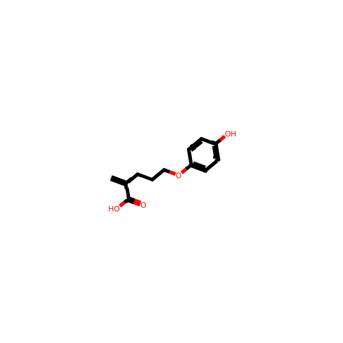 C=C(CCCOc1ccc(O)cc1)C(=O)O